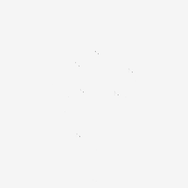 CC(C)(C)OC(=O)N1CCC(C(=O)Nc2nonc2-c2noc(=O)n2-c2ccc(F)c(Br)c2)(c2ccccc2)CC1